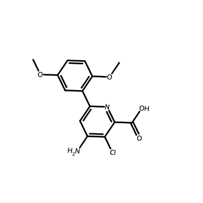 COc1ccc(OC)c(-c2cc(N)c(Cl)c(C(=O)O)n2)c1